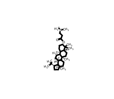 C=C(C)[C@@H]1CC[C@]2(C)CC[C@]3(C)[C@H](CCC4[C@@]5(C)CC[C@H](OC(=O)CCN(C)C)C(C)(C)[C@@H]5CC[C@]43C)[C@@H]12